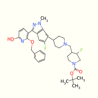 Cn1nc(-c2ccc(O)nc2OCc2ccccc2)c2cc(F)c(C3CCN(CC4CCN(C(=O)OC(C)(C)C)CC4F)CC3)cc21